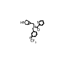 O=C(c1ccccn1)N(Cc1cccc(OC(F)(F)F)c1)CC1C2CNCC21